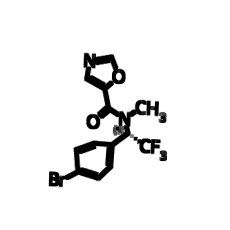 CN(C(=O)c1cnco1)[C@@H](c1ccc(Br)cc1)C(F)(F)F